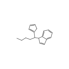 CCCCC(C1=CC=CC1)C1C=Cc2ccccc21